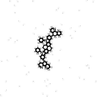 c1ccc(-n2c3ccc(-c4cc5cccnc5c5ncccc45)cc3c3cc4c5c(c32)CCc2c-5c(cc3c5cc(C6Cc7cccnc7-c7ncccc76)ccc5n(-c5ccccc5)c23)CC4)cc1